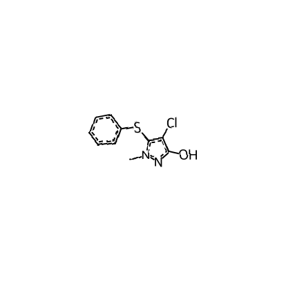 Cn1nc(O)c(Cl)c1Sc1ccccc1